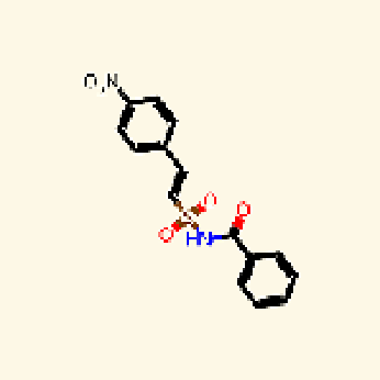 O=C(NS(=O)(=O)/C=C/c1ccc([N+](=O)[O-])cc1)c1ccccc1